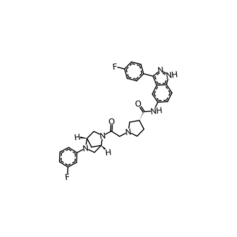 O=C(Nc1ccc2[nH]nc(-c3ccc(F)cc3)c2c1)[C@@H]1CCN(CC(=O)N2C[C@@H]3C[C@H]2CN3c2cccc(F)c2)C1